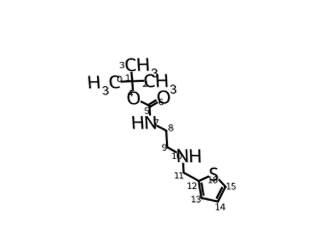 CC(C)(C)OC(=O)NCCNCc1cccs1